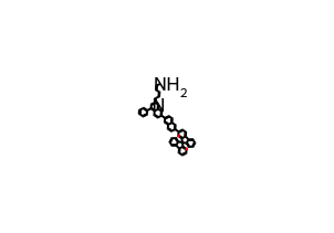 N/C=C\C=C/Cc1cc(-c2cc#ccc2)c2ccc(-c3ccc4cc(-c5ccc6c(c5)C5(c7ccccc7-c7ccccc75)c5ccccc5-6)ccc4c3)cc2n1